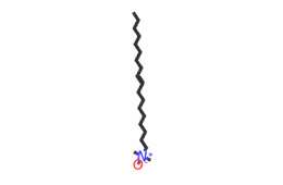 CCCCCCCCC=CCCCCCCCC[N+](C)(C)[O-]